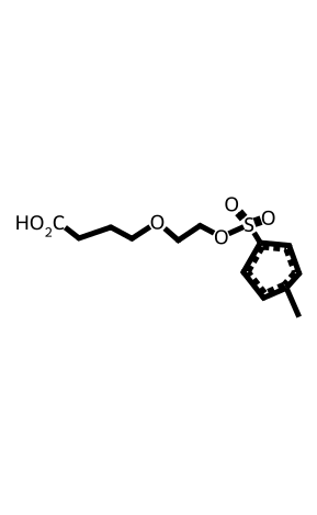 Cc1ccc(S(=O)(=O)OCCOCCCC(=O)O)cc1